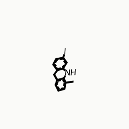 Cc1cccc2c1Nc1cc(I)ccc1C2